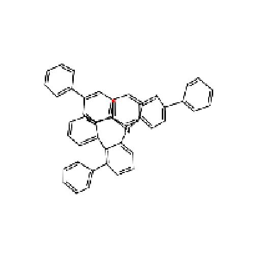 c1ccc(-c2ccc(N(c3ccc(-c4ccccc4)cc3)c3cccc(-c4ccccc4)c3-c3ccccc3-c3ccccc3)cc2)cc1